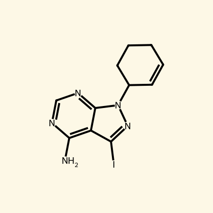 Nc1ncnc2c1c(I)nn2C1C=CCCC1